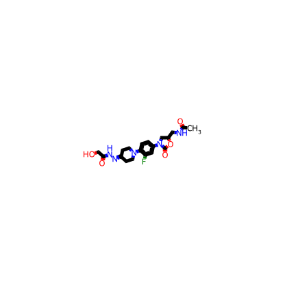 CC(=O)NCC1CN(c2ccc(N3CCC(=NNC(=O)CO)CC3)c(F)c2)C(=O)O1